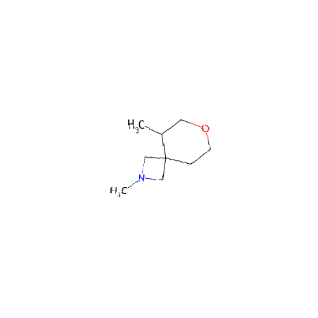 CC1COCCC12CN(C)C2